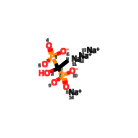 CC(O)(P(=O)([O-])[O-])P(=O)([O-])[O-].[Na+].[Na+].[Na+].[Na+]